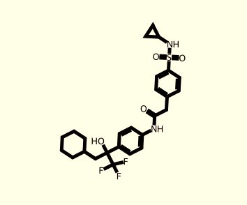 O=C(Cc1ccc(S(=O)(=O)NC2CC2)cc1)Nc1ccc(C(O)(CC2CCCCC2)C(F)(F)F)cc1